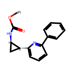 CC(C)OC(=O)N[C@@H]1C[C@H]1c1cccc(-c2ccccc2)n1